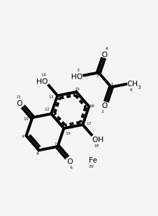 CC(=O)C(=O)O.O=C1C=CC(=O)c2c(O)ccc(O)c21.[Fe]